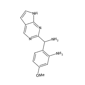 COc1ccc(C(N)c2ncc3cc[nH]c3n2)c(N)c1